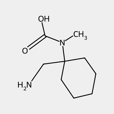 CN(C(=O)O)C1(CN)CCCCC1